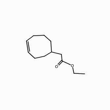 CCOC(=O)CC1CC/C=C\CCC1